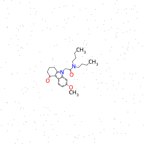 CCCCN(CCCC)C(=O)Cn1c2c(c3ccc(OC)cc31)C(=O)CCC2